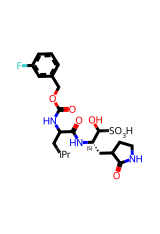 CC(C)CC(NC(=O)OCc1cccc(F)c1)C(=O)N[C@@H](CC1CCNC1=O)C(O)S(=O)(=O)O